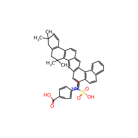 CC1(C)C=CC2=C(C1)CC(C)(C)c1c2ccc2cc(-c3c(/C=C/c4ccc(C(=O)O)cc4)ccc4ccccc34)c(/C=C/NS(=O)(=O)O)cc12